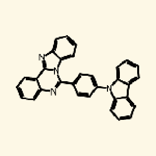 c1ccc2c(c1)nc(-c1ccc(-n3c4ccccc4c4ccccc43)cc1)n1c3ccccc3nc21